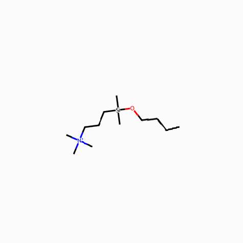 CCCCO[Si](C)(C)CCC[N+](C)(C)C